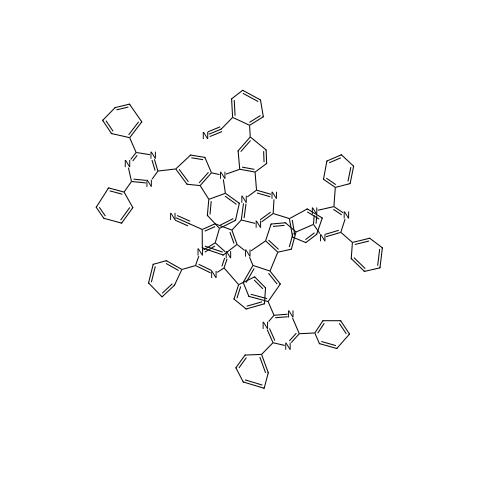 N#Cc1ccc(-n2c3ccc(-c4nc(-c5ccccc5)nc(-c5ccccc5)n4)cc3c3cc(-c4nc(-c5ccccc5)nc(-c5ccccc5)n4)ccc32)c(-c2nc(-c3ccccc3)nc(-c3ccc(-c4ccccc4C#N)cc3-n3c4ccc(-c5nc(-c6ccccc6)nc(-c6ccccc6)n5)cc4c4cc(-c5nc(-c6ccccc6)nc(-c6ccccc6)n5)ccc43)n2)c1